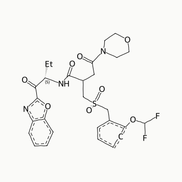 CC[C@H](NC(=O)C(CC(=O)N1CCOCC1)CS(=O)(=O)Cc1ccccc1OC(F)F)C(=O)c1nc2ccccc2o1